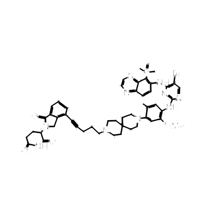 COc1cc(N2CCC3(CCN(CCCC#Cc4cccc5c4CN(C4CCC(=O)NC4=O)C5=O)CC3)CC2)c(C)cc1Nc1ncc(Br)c(Nc2ccc3nccnc3c2P(C)(C)=O)n1